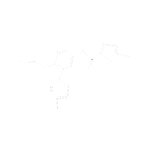 Cc1nc(C)c(C(=O)Nc2cnc(OCC(F)(F)F)c(-c3ccc(Cl)cc3)c2)o1